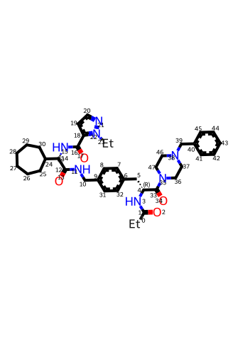 CCC(=O)N[C@H](Cc1ccc(CNC(=O)[C@@H](NC(=O)c2ccnn2CC)C2CCCCCC2)cc1)C(=O)N1CCN(Cc2ccccc2)CC1